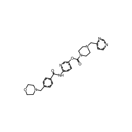 O=C(Nc1ccc(OC(=O)N2CCN(Cc3ccncn3)CC2)cn1)c1ccc(CN2CCOCC2)cc1